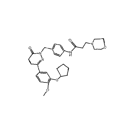 COc1ccc(C2=NN(Cc3ccc(NC(=O)CCN4CCOCC4)cc3)C(=O)CC2)cc1OC1CCCC1